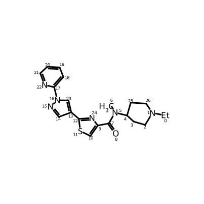 CCN1CCC(N(C)C(=O)c2csc(-c3cnn(-c4ccccn4)c3)n2)CC1